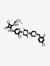 C[C@@H]1CN(C2CCN(Cc3ccc(Cl)cc3F)CC2)[C@@H](C)CN1c1ncc(Nc2c(NCC(F)(F)F)c(=O)c2=O)cc1Cl